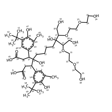 Cc1cc(C(CC(=O)O)C(O)(CCCCC(O)(C(CO)OCCOCCO)C(CO)OCCOCCO)C(CC(=O)O)c2cc(C)c(O)c(C(C)(C)C)c2)cc(C(C)(C)C)c1O